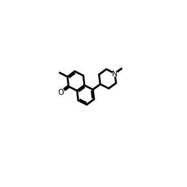 CC1=CCc2c(cccc2C2CCN(C)CC2)C1=O